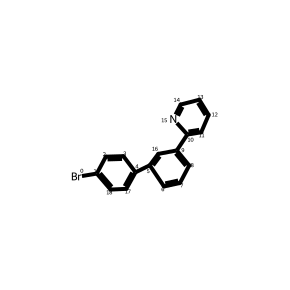 Brc1ccc(-c2cccc(-c3ccccn3)c2)cc1